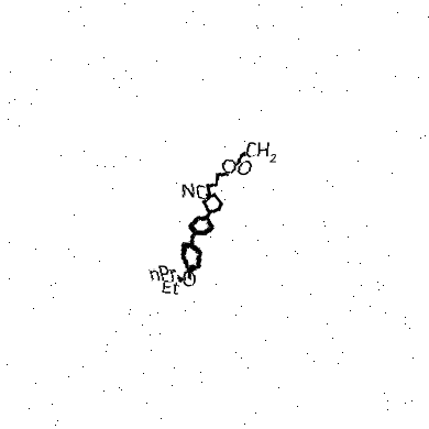 C=CC(=O)OCCCCC1(C#N)CCCC(c2ccc(-c3ccc(OC(CC)CCC)cc3)cc2)C1